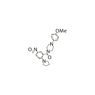 COc1ccc(N2CCN(C(=O)c3cc([N+](=O)[O-])ccc3N3CCCC3)CC2)cc1